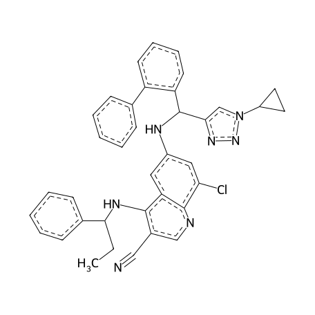 CCC(Nc1c(C#N)cnc2c(Cl)cc(NC(c3cn(C4CC4)nn3)c3ccccc3-c3ccccc3)cc12)c1ccccc1